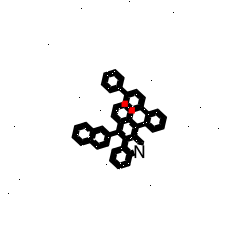 c1ccc(-c2ccc(-c3ccccc3-c3c4ccccc4c(-c4ccc5ccccc5c4)c4c3cnc3ccccc34)cc2)cc1